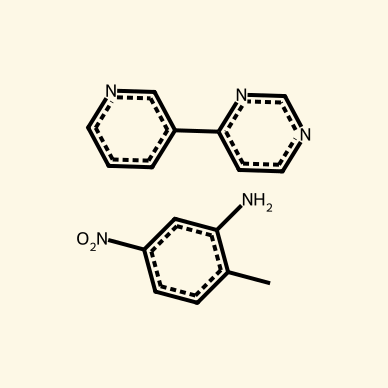 Cc1ccc([N+](=O)[O-])cc1N.c1cncc(-c2ccncn2)c1